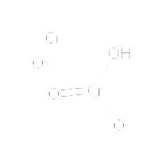 [Cr+3].[O-2].[O]=[Cr]([O-])[OH]